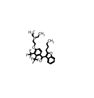 CCCCc1oc2ccccc2c1C(=O)c1ccc(OCCN(CC)CC)c(C(F)(F)F)c1C(F)(F)F